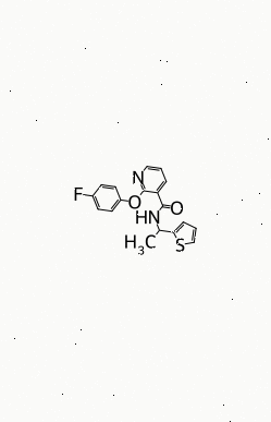 CC(NC(=O)c1cccnc1Oc1ccc(F)cc1)c1cccs1